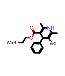 COCCOC(=O)C1=C(C)NC(C)=C(C(C)=O)C1c1ccccc1